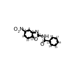 O=C(Nc1nc2cc([N+](=O)[O-])ccc2o1)c1ccccc1